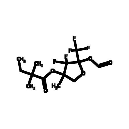 CCC(C)(C)C(=O)OC1(C)COC(OC=O)(C(F)(F)F)C1(F)F